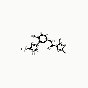 Cc1nc(C)c(C(=O)Nc2ccc(F)c(-c3n[nH]c(N)n3)c2)o1